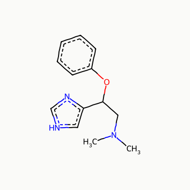 CN(C)CC(Oc1ccccc1)c1c[nH]cn1